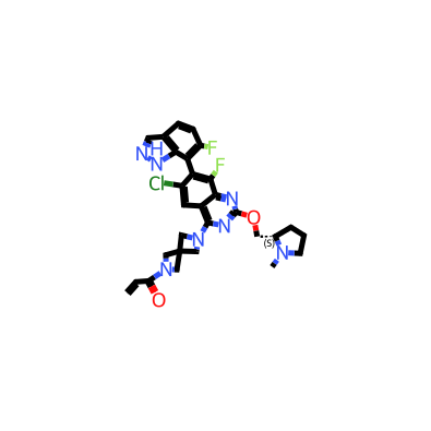 C=CC(=O)N1CC2(C1)CN(c1nc(OC[C@@H]3CCCN3C)nc3c(F)c(-c4c(F)ccc5cn[nH]c45)c(Cl)cc13)C2